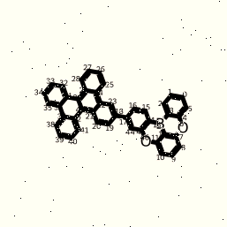 c1ccc2c(c1)Oc1cccc3c1B2c1ccc(-c2ccc4c(c2)c2ccccc2c2c5ccccc5c5ccccc5c42)cc1O3